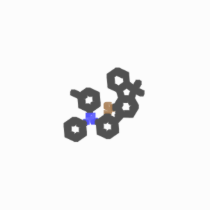 Cc1cccc(N(c2ccccc2)c2cccc3c2sc2c4c(ccc23)C(C)(C)C2C=CC=CC42)c1